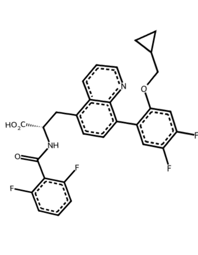 O=C(N[C@@H](Cc1ccc(-c2cc(F)c(F)cc2OCC2CC2)c2ncccc12)C(=O)O)c1c(F)cccc1F